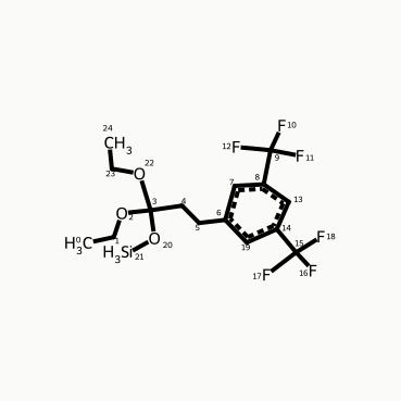 CCOC(CCc1cc(C(F)(F)F)cc(C(F)(F)F)c1)(O[SiH3])OCC